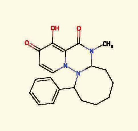 CN1C(=O)c2c(O)c(=O)ccn2N2C(c3ccccc3)CCCCCC12